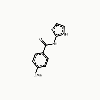 COc1ccc(C(=O)Nc2ncc[nH]2)cc1